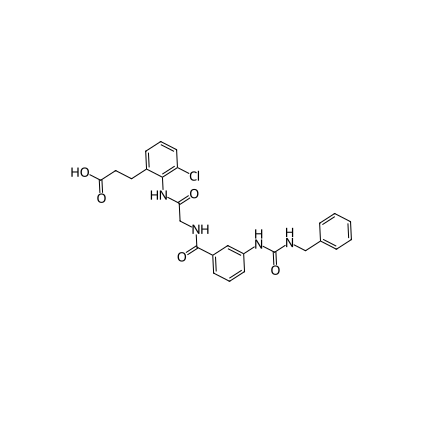 O=C(O)CCc1cccc(Cl)c1NC(=O)CNC(=O)c1cccc(NC(=O)NCc2ccccc2)c1